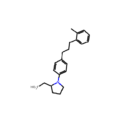 Cc1ccccc1CCCc1ccc(N2CCCC2CC(=O)O)cc1